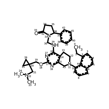 CCc1cccc2cccc(N3CCc4c(nc(OCC5(CN(C)C)CC5)nc4NCN4C(=O)CCC4c4ccccc4)C3)c12